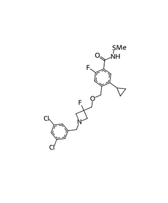 CSNC(=O)c1cc(C2CC2)c(COCC2(F)CN(Cc3cc(Cl)cc(Cl)c3)C2)cc1F